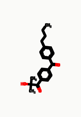 CCCCc1ccc(C(=O)c2ccc(C(=O)C(C)(C)O)cc2)cc1